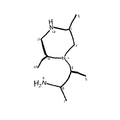 CC1CN(C(C)C(C)N)C(C)CN1